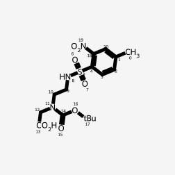 Cc1ccc(S(=O)(=O)NCCN(CC(=O)O)C(=O)OC(C)(C)C)c([N+](=O)[O-])c1